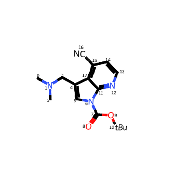 CN(C)Cc1cn(C(=O)OC(C)(C)C)c2nccc(C#N)c12